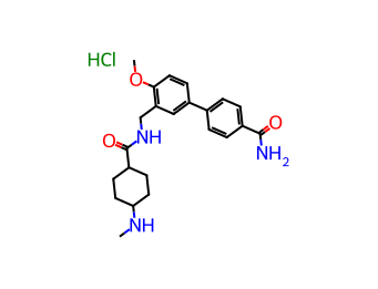 CNC1CCC(C(=O)NCc2cc(-c3ccc(C(N)=O)cc3)ccc2OC)CC1.Cl